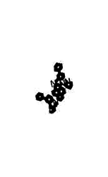 C/C=C\C=C\N(c1ccc(-c2ccccc2)cc1C#N)c1ccc2ccc3c(N(c4ccccn4)c4ccc(-c5ccccc5)cc4C#N)ccc4ccc1c2c43